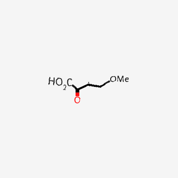 COC[CH]C(=O)C(=O)O